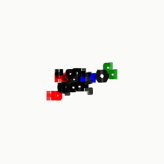 CC1(C)C(N2CCN(c3ccc(Cl)c(Cl)c3)CC2)C(C)(C)C1(O)c1ccc(O)cc1